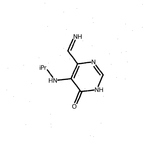 CC(C)Nc1c(C=N)nc[nH]c1=O